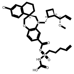 C=CCCCS(=O)(=NC(=O)c1ccc2c(c1)N(C[C@@H]1CC[C@H]1[C@H](C=C)OC)C[C@@]1(CCCc3cc(Cl)ccc31)CO2)NC(=O)O